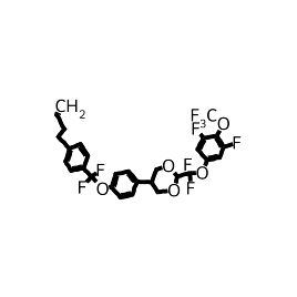 C=CCCc1ccc(C(F)(F)Oc2ccc(C3COC(C(F)(F)Oc4cc(F)c(OC(F)(F)F)c(F)c4)OC3)cc2)cc1